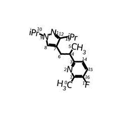 Cc1nc(C(C)Cc2cn(C(C)C)nc2C(C)C)ccc1F